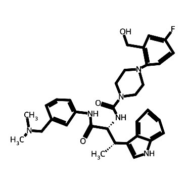 C[C@@H](c1c[nH]c2ccccc12)[C@@H](NC(=O)N1CCN(c2ccc(F)cc2CO)CC1)C(=O)Nc1cccc(CN(C)C)c1